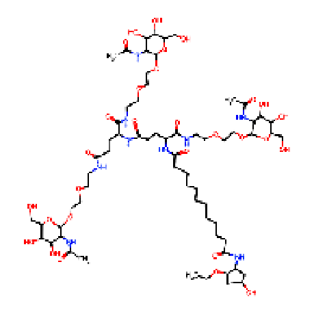 CCOC1CC(O)CC1NC(=O)CCCCCCCCCCC(=O)NC(CCC(=O)NC(CCC(=O)NCCOCCOC1OC(CO)C(O)C(O)C1NC(C)=O)C(=O)NCCOCCOC1OC(CO)C(O)C(O)C1NC(C)=O)C(=O)NCCOCCOC1O[C@H](CO)C(O)C(O)C1NC(C)=O